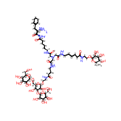 C[C@@H]1O[C@@H](OCCNC(=O)CCCCCNC(=O)CN(CC(=O)NCCCCCC(=O)NC(=O)[C@@H](N)Cc2ccccc2)CC(=O)NCCCC(=O)NCCO[C@H]2O[C@H](CO[C@H]3O[C@H](CO)[C@@H](O)[C@H](O)[C@@H]3O)[C@@H](O)[C@H](O[C@H]3O[C@H](CO)[C@@H](O)[C@H](O)[C@@H]3O)[C@@H]2O)[C@@H](O)[C@H](O)[C@@H]1O